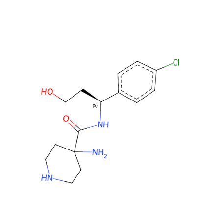 NC1(C(=O)N[C@@H](CCO)c2ccc(Cl)cc2)CCNCC1